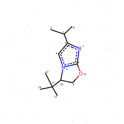 CC(C)c1cn2c(n1)OCC2C(C)(C)C